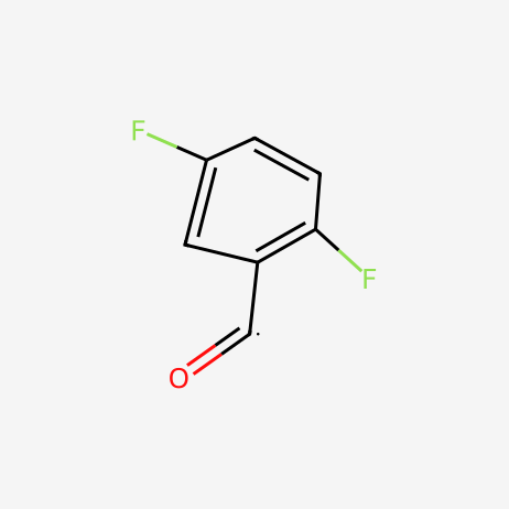 O=[C]c1cc(F)ccc1F